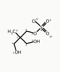 CC(CO)(CO)COS(=O)(=O)Cl